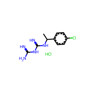 CC(NC(=N)NC(=N)N)c1ccc(Cl)cc1.Cl